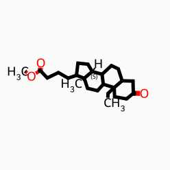 CCC12CCC(=O)CC1CCC1C2CCC2(C)C(CCCC(=O)OC)CC[C@@H]12